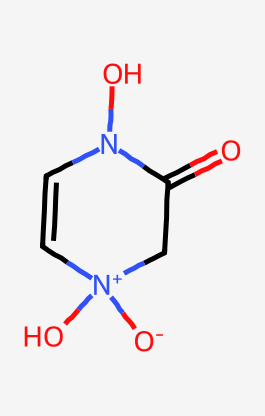 O=C1C[N+]([O-])(O)C=CN1O